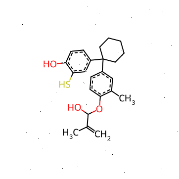 C=C(C)C(O)Oc1ccc(C2(c3ccc(O)c(S)c3)CCCCC2)cc1C